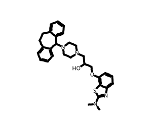 CN(C)c1nc2cccc(OCC(O)CN3CCN(C4c5ccccc5CCc5ccccc54)CC3)c2s1